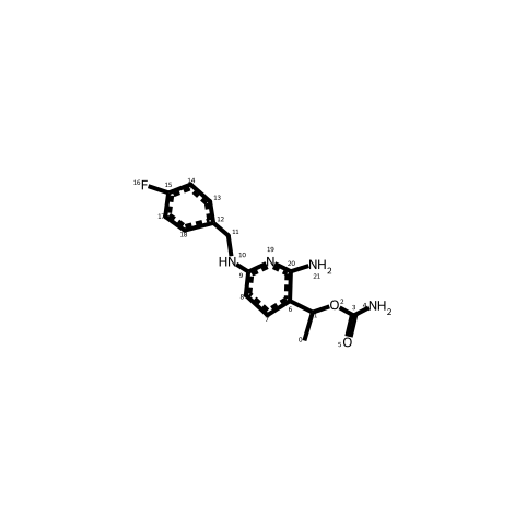 CC(OC(N)=O)c1ccc(NCc2ccc(F)cc2)nc1N